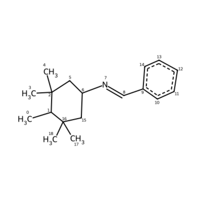 CC1C(C)(C)CC(/N=C/c2ccccc2)CC1(C)C